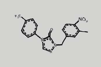 Cc1cc(Cn2ncn(-c3ccc(C(F)(F)F)cc3)c2=O)ccc1[N+](=O)[O-]